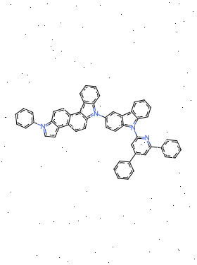 c1ccc(-c2cc(-c3ccccc3)nc(-n3c4ccccc4c4cc(-n5c6ccccc6c6c7ccc8c(ccn8-c8ccccc8)c7ccc65)ccc43)c2)cc1